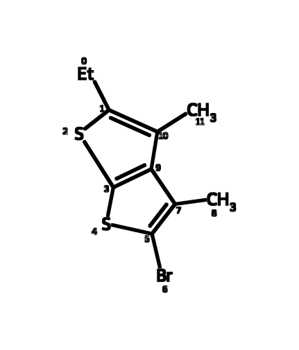 CCc1sc2sc(Br)c(C)c2c1C